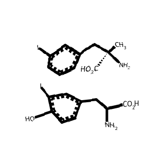 C[C@@](N)(Cc1cccc(I)c1)C(=O)O.NC(Cc1ccc(O)c(I)c1)C(=O)O